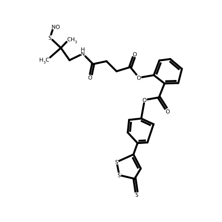 CC(C)(CNC(=O)CCC(=O)Oc1ccccc1C(=O)Oc1ccc(-c2cc(=S)ss2)cc1)SN=O